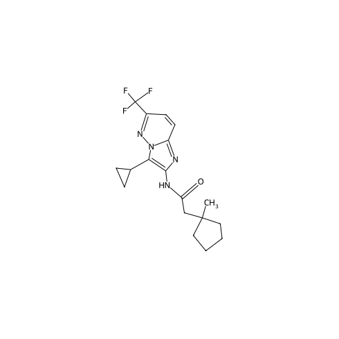 CC1(CC(=O)Nc2nc3ccc(C(F)(F)F)nn3c2C2CC2)CCCC1